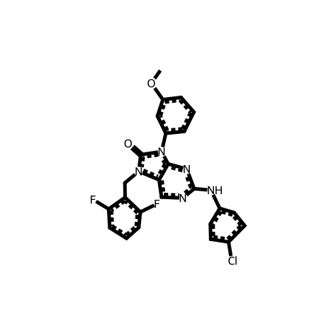 COc1cccc(-n2c(=O)n(Cc3c(F)cccc3F)c3cnc(Nc4ccc(Cl)cc4)nc32)c1